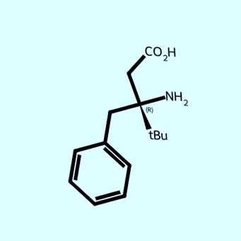 CC(C)(C)[C@](N)(CC(=O)O)Cc1ccccc1